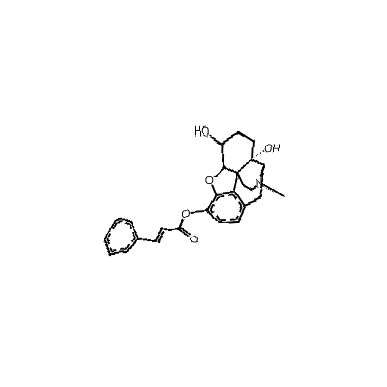 CN1CCC23c4c5ccc(OC(=O)/C=C/c6ccccc6)c4OC2C(O)CC[C@@]3(O)C1C5